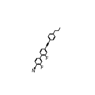 CCCc1ccc(C#Cc2ccc(-c3ccc(C#N)c(F)c3)c(F)c2)cc1